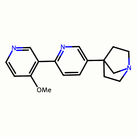 COc1ccncc1-c1ccc(C23CCN(CC2)C3)cn1